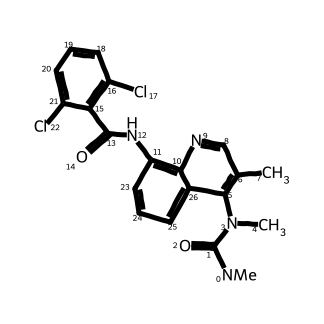 CNC(=O)N(C)c1c(C)cnc2c(NC(=O)c3c(Cl)cccc3Cl)cccc12